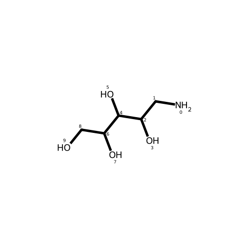 NCC(O)C(O)C(O)CO